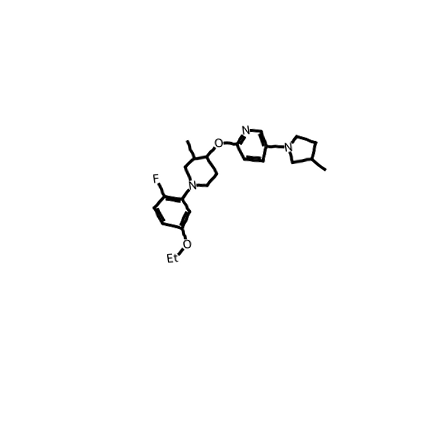 CCOc1ccc(F)c(N2CCC(Oc3ccc(N4CCC(C)C4)cn3)C(C)C2)c1